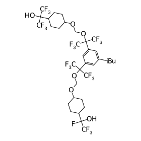 CCC(C)c1cc(C(OCOC2CCC(C(O)(F)C(F)(F)F)CC2)(C(F)(F)F)C(F)(F)F)cc(C(OCOC2CCC(C(O)(C(F)(F)F)C(F)(F)F)CC2)(C(F)(F)F)C(F)(F)F)c1